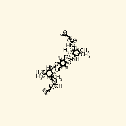 CC1(C)CC(NC(=O)Oc2c(F)c(F)c(OC(=O)NC3CC(C)(C)CC(C)(CNC(O)OCC4CO4)C3)c(F)c2F)CC(C)(CNC(=O)OCC2CO2)C1